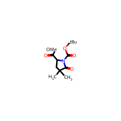 COC(=O)C1CC(C)(C)C(=O)N1C(=O)OC(C)(C)C